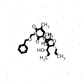 C=CC[C@H]1O[C@H]2[C@H](C3C=C(C)C(=O)N(COCc4ccccc4)C3=O)OC1([C@@H](O)C=C)[C@H]2OC